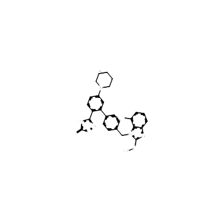 CCOc1nc2cccc(C(=O)O)c2n1Cc1ccc(-c2cc(N3CCC[C@@H](C)C3)ccc2-c2noc(=O)[nH]2)cc1